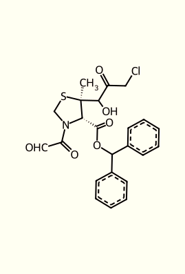 C[C@@]1(C(O)C(=O)CCl)SCN(C(=O)C=O)[C@H]1C(=O)OC(c1ccccc1)c1ccccc1